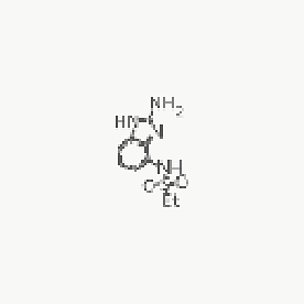 CCS(=O)(=O)Nc1cccc2[nH]c(N)nc12